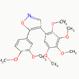 COc1ccc(-c2oncc2-c2cc(OC)c(OC)c(OC)c2OC)cc1OC